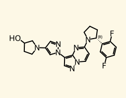 OC1CCN(c2cnn(-c3cnn4ccc(N5CCC[C@@H]5c5cc(F)ccc5F)nc34)c2)C1